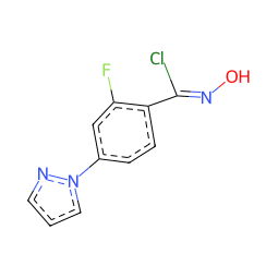 ON=C(Cl)c1ccc(-n2cccn2)cc1F